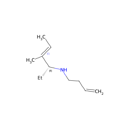 C=CCCN[C@H](CC)/C(C)=C/C